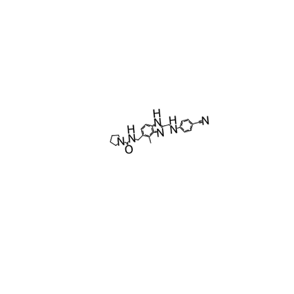 Cc1c(CNC(=O)N2CCCC2)ccc2[nH]c(CNc3ccc(C#N)cc3)nc12